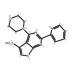 O=C(O)c1csc2nc(-c3ccccn3)nc(N3CCOCC3)c12